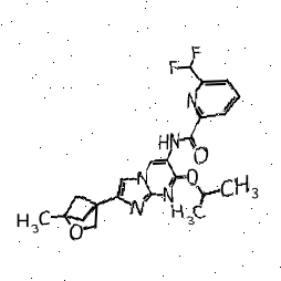 CC(C)Oc1nc2nc(C34COC(C)(C3)C4)cn2cc1NC(=O)c1cccc(C(F)F)n1